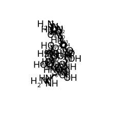 N=C(N)NCCC[C@H](NC(=O)[C@H](CC(=O)O)NC(=O)CC[C@@H](NC(=O)c1ccc(NCc2cnc3nc(N)[nH]c(=O)c3n2)cc1)C(=O)O)C(=O)N[C@@H](CC(=O)O)C(=O)N[C@@H](CC(=O)O)C(=O)N[C@@H](CS)C(=O)O